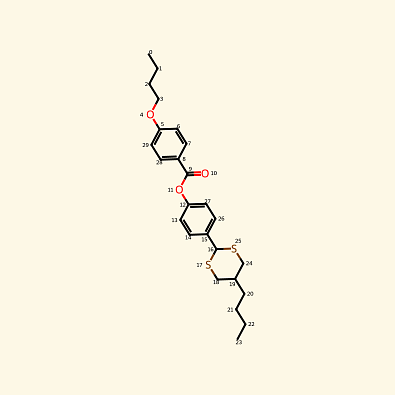 CCCCOc1ccc(C(=O)Oc2ccc(C3SCC(CCCC)CS3)cc2)cc1